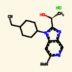 CNc1cc2c(cn1)nc([C@@H](C)O)n2C1CCC(CC#N)CC1.Cl